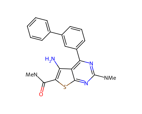 CNC(=O)c1sc2nc(NC)nc(-c3cccc(-c4ccccc4)c3)c2c1N